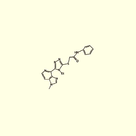 CCn1c(SCC(=O)Nc2ccccc2)nnc1-c1nccc2c1ncn2C